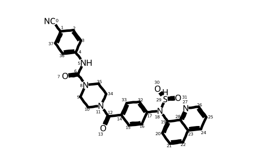 N#Cc1ccc(NC(=O)N2CCN(C(=O)c3ccc(N(c4cccc5cccnc45)[SH](=O)=O)cc3)CC2)cc1